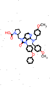 COc1ccc(CN(Cc2ccc(OC)cc2)c2nccc3c2n(-c2ccc(Oc4ccccc4)cc2)c(=O)n3CC2CCCN2C(=O)O)cc1